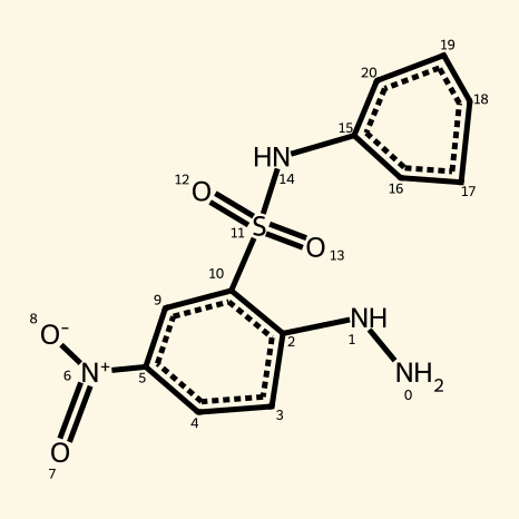 NNc1ccc([N+](=O)[O-])cc1S(=O)(=O)Nc1ccccc1